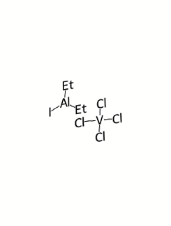 C[CH2][Al]([I])[CH2]C.[Cl][V]([Cl])([Cl])[Cl]